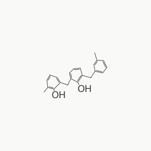 Cc1cccc(Cc2cccc(Cc3cccc(C)c3O)c2O)c1